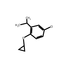 CC(C)c1cc(Cl)ccc1OC1CC1